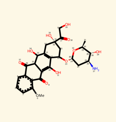 COc1cccc2c1C(=O)C1=C(O)C3=C(C[C@@](O)(C(=O)CO)CC3O[C@H]3C[C@H](N)[C@@H](O)[C@H](C)O3)C(O)C1C2=O